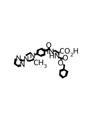 CC1CN(c2ncccn2)CCN1c1ccc(C(=O)NC[C@H](NC(=O)OCc2ccccc2)C(=O)O)cc1